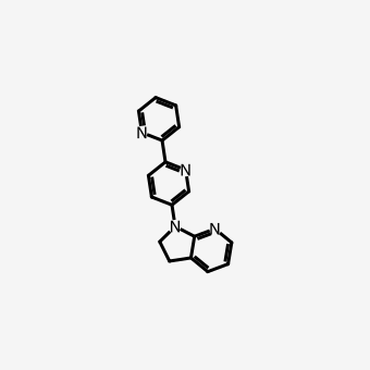 c1ccc(-c2ccc(N3CCc4cccnc43)cn2)nc1